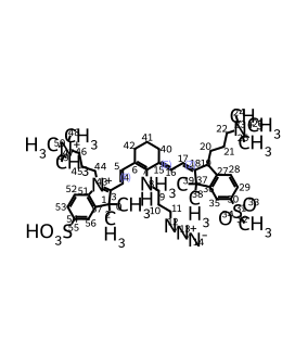 CC1(C)C(/C=C/C2=C(NCCCN=[N+]=[N-])C(=C/C=C3/C(CCC[N+](C)(C)C)c4ccc(S(C)(=O)=O)cc4C3(C)C)/CCC2)=[N+](CCC[N+](C)(C)C)c2ccc(S(=O)(=O)O)cc21